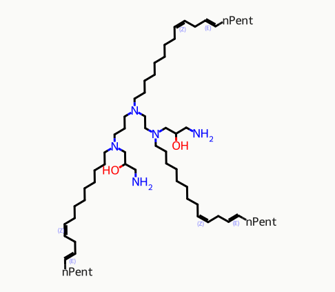 CCCCC/C=C/C/C=C\CCCCCCCCN(CCCN(CCCCCCCC/C=C\C/C=C/CCCCC)CC(O)CN)CCN(CCCCCCCC/C=C\C/C=C/CCCCC)CC(O)CN